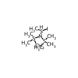 C[SH](I)N(S(C)(C)C)S(C)(C)C